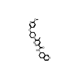 COc1ccc(OC2CCN(c3nnc(C(=O)N[C@H]4CCc5ccncc5C4)cc3C)CC2)cn1